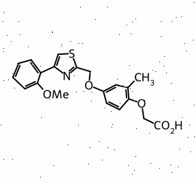 COc1ccccc1-c1csc(COc2ccc(OCC(=O)O)c(C)c2)n1